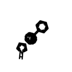 c1cc[nH]c1.c1ccc([C]23[CH]4[CH]5[CH]6[CH]2[Ti]56432789[CH]3[CH]2[CH]7[CH]8[CH]39)cc1